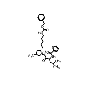 CC(C)C[C@H](NC(=O)c1cccs1)C(=O)NN1CC(C)C[C@@H]1CCCCCNC(=O)OCc1ccccc1